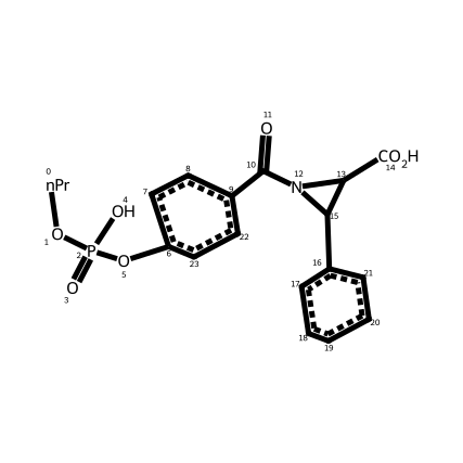 CCCOP(=O)(O)Oc1ccc(C(=O)N2C(C(=O)O)C2c2ccccc2)cc1